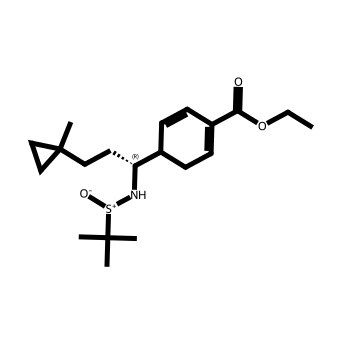 CCOC(=O)C1=CCC([C@@H](CCC2(C)CC2)N[S+]([O-])C(C)(C)C)C=C1